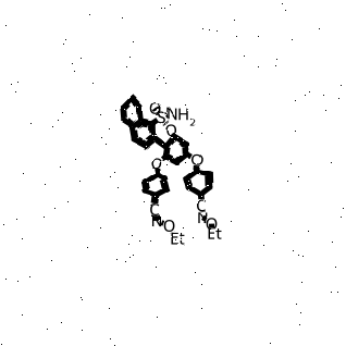 CCON=C=C1C=CC(Oc2ccc(-c3ccc4ccccc4c3S(N)(=O)=O)c(OC3C=CC(=C=NOCC)C=C3)c2)C=C1